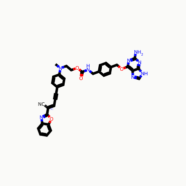 CN(CCOC(=O)NCc1ccc(COc2nc(N)nc3[nH]cnc23)cc1)c1ccc(C#C/C=C(\C#N)c2nc3ccccc3o2)cc1